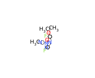 CC(C)COc1ccc(CN(Cc2ccc(F)cc2)C(=O)NC2CCN(C)CC2)cc1F